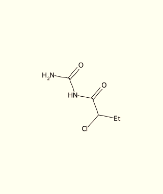 CCC(Cl)C(=O)NC(N)=O